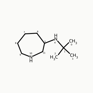 CC(C)(C)NC1CCCCNC1